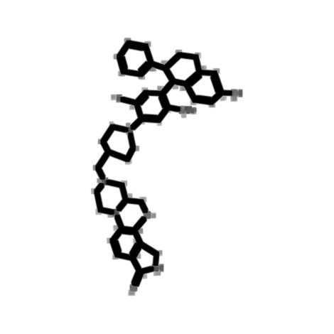 COc1cc(N2CCC(CN3CCN4c5ccc6c(c5OCC4C3)CNC6=O)CC2)c(F)cc1C1c2ccc(O)cc2CCC1c1ccccc1